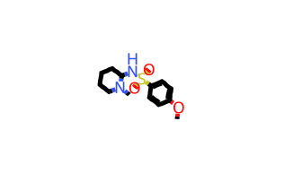 COc1ccc(S(=O)(=O)NC2CCCCN2C)cc1